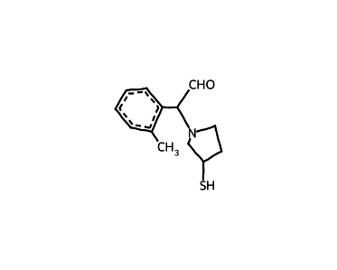 Cc1ccccc1C(C=O)N1CCC(S)C1